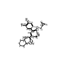 O=C(NC1CCCCC1O)c1cnc(OCC2CC2)c(-c2ccc(F)c(F)c2)c1